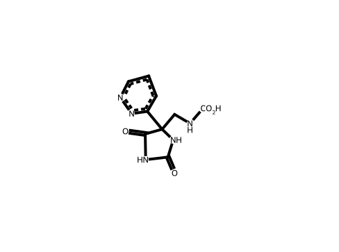 O=C(O)NCC1(c2cccnn2)NC(=O)NC1=O